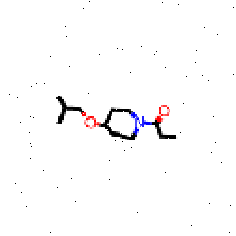 CCC(=O)N1CCC(OCC(C)C)CC1